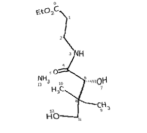 CCOC(=O)CCNC(=O)[C@H](O)C(C)(C)CO.N